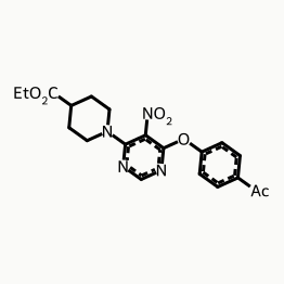 CCOC(=O)C1CCN(c2ncnc(Oc3ccc(C(C)=O)cc3)c2[N+](=O)[O-])CC1